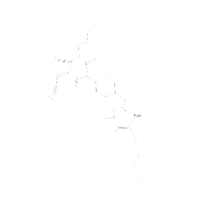 CCCCn1c(=O)n(C2CCC(CN3C(=O)N(COCC[Si](C)(C)C)C(=O)C3(C)C)CC2)c(=O)c2c(C#N)snc21